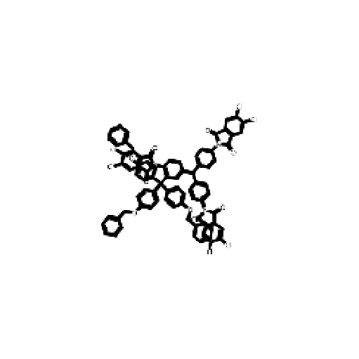 O=C1c2cc(Cl)c(Cl)cc2C(=O)N1c1ccc([C](c2ccc(N3C(=O)c4cc(Cl)c(Cl)cc4C3=O)cc2)c2ccc(N3C(=O)c4cc(Cl)c(Cl)cc4C3=O)c(C(c3ccc(OCc4ccccc4)cc3)(c3ccc(OCc4ccccc4)cc3)c3ccc(OCc4ccccc4)cc3)c2)cc1